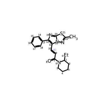 CCC1CCCCN1C(=O)/C=C/c1c(-c2ccccc2)nc2sc(C)nn12